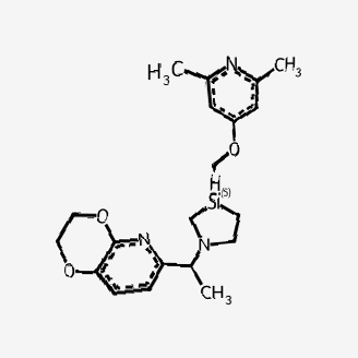 Cc1cc(OC[Si@H]2CCN(C(C)c3ccc4c(n3)OCCO4)C2)cc(C)n1